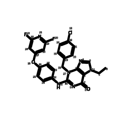 CCn1cnc2c1c(=O)nc(Nc1ccc(Oc3cc(F)nc(F)c3)cc1)n2Cc1ccc(Cl)cc1